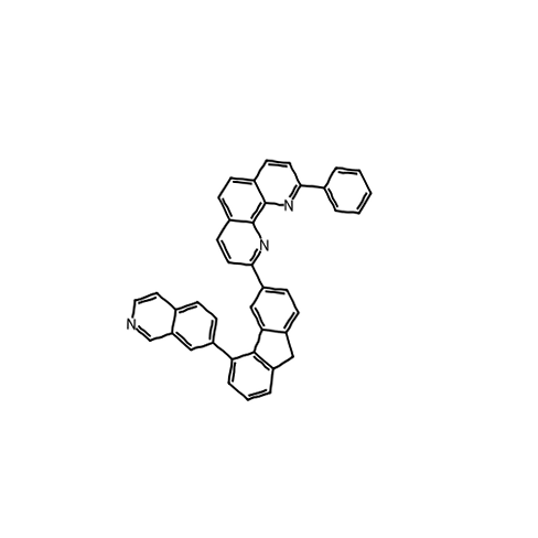 c1ccc(-c2ccc3ccc4ccc(-c5ccc6c(c5)-c5c(cccc5-c5ccc7ccncc7c5)C6)nc4c3n2)cc1